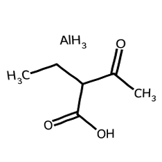 CCC(C(C)=O)C(=O)O.[AlH3]